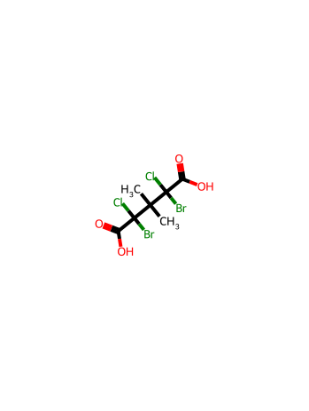 CC(C)(C(Cl)(Br)C(=O)O)C(Cl)(Br)C(=O)O